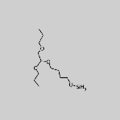 CCCOCC(OCCC)OCCCCO[SiH3]